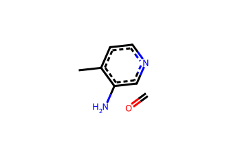 C=O.Cc1ccncc1N